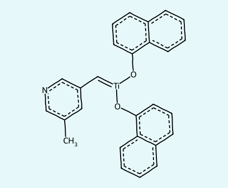 Cc1cncc([CH]=[Ti]([O]c2cccc3ccccc23)[O]c2cccc3ccccc23)c1